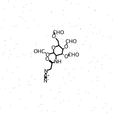 [N-]=[N+]=NCC(=O)NC1C(OC=O)OC(COC=O)[C@@H](OC=O)[C@@H]1OC=O